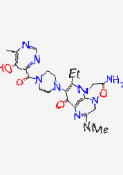 CCc1c(N2CCN(C(=O)c3ncnc(C)c3O)CC2)c(=O)c2nc(NC)cnc2n1CC(N)=O